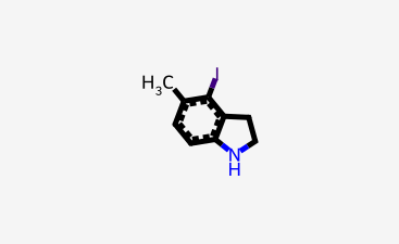 Cc1ccc2c(c1I)CCN2